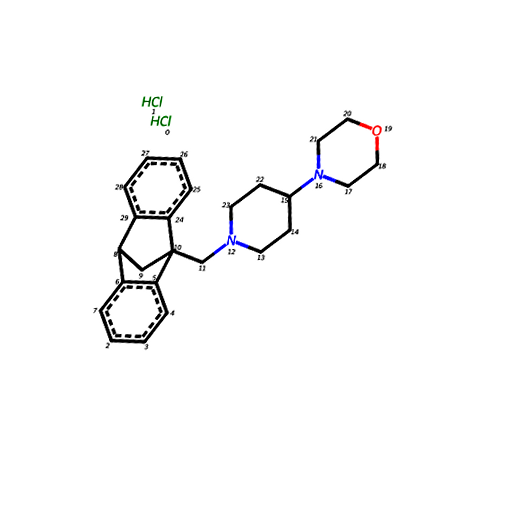 Cl.Cl.c1ccc2c(c1)C1CC2(CN2CCC(N3CCOCC3)CC2)c2ccccc21